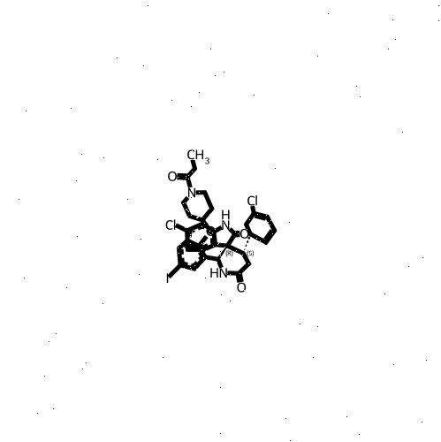 CCC(=O)N1CCC(Oc2ccc(I)cc2C2NC(=O)C[C@@H](C3C=CC=C(Cl)C3)[C@]23C(=O)Nc2cc(Cl)ccc23)CC1